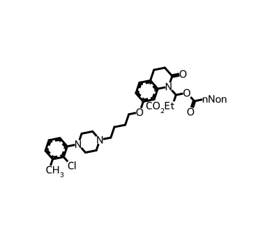 CCCCCCCCCC(=O)OC(C(=O)OCC)N1C(=O)CCc2ccc(OCCCCN3CCN(c4cccc(C)c4Cl)CC3)cc21